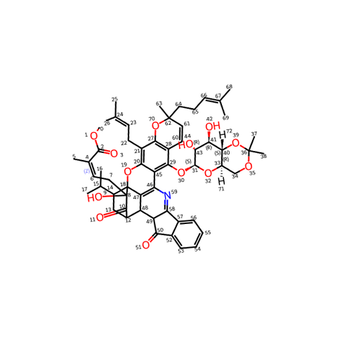 COC(=O)/C(C)=C\CC1(O)C(=O)C2CC(C(C)C)C13Oc1c(CC=C(C)C)c4c(c(O[C@@H]5O[C@@H]6COC(C)(C)O[C@H]6[C@H](O)[C@H]5O)c1C1=C3C2C2C(=O)c3ccccc3C2=N1)C=CC(C)(CCC=C(C)C)O4